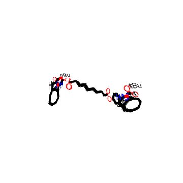 CC(C)(C)OC(=O)N[C@H]1[C@H]2CCCCC[C@]1(C)c1cc(OC(=O)CCCCCCCCC(=O)Oc3ccc4c(c3)[C@@]3(C)CCCCC[C@@H](C4)[C@@H]3NC(=O)OC(C)(C)C)ccc1C2